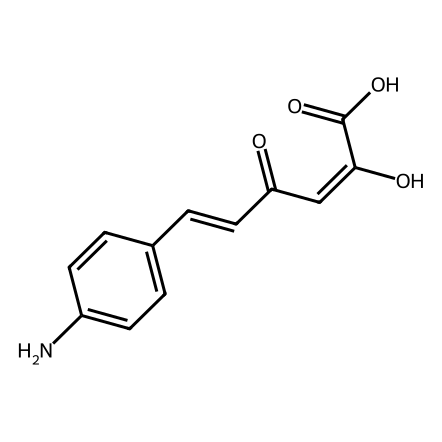 Nc1ccc(/C=C/C(=O)/C=C(/O)C(=O)O)cc1